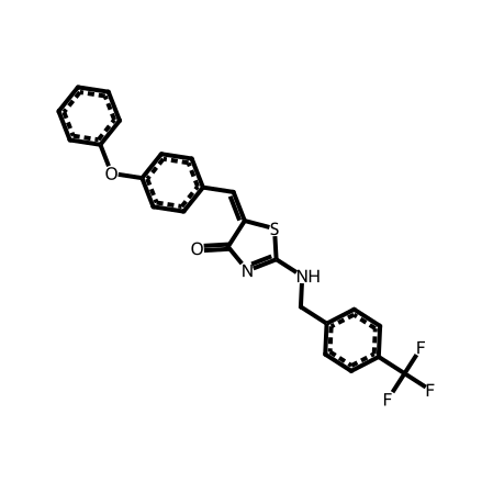 O=C1N=C(NCc2ccc(C(F)(F)F)cc2)S/C1=C/c1ccc(Oc2ccccc2)cc1